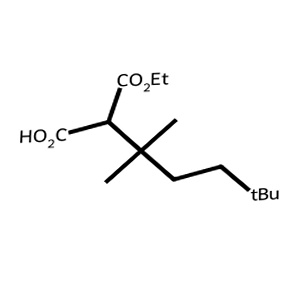 CCOC(=O)C(C(=O)O)C(C)(C)CCC(C)(C)C